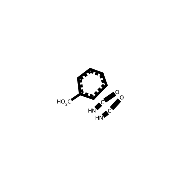 N=C=O.N=C=O.O=C(O)c1ccccc1